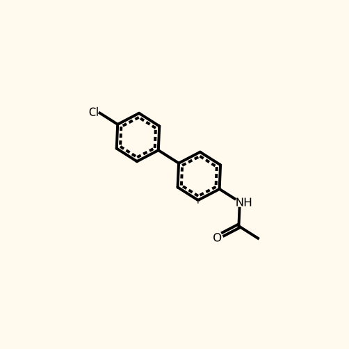 CC(=O)Nc1[c]cc(-c2ccc(Cl)cc2)cc1